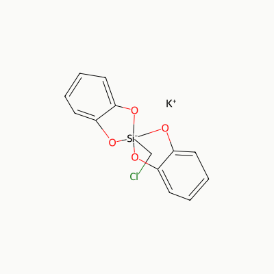 ClC[Si-]12(Oc3ccccc3O1)Oc1ccccc1O2.[K+]